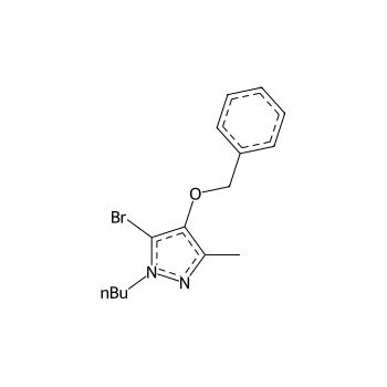 CCCCn1nc(C)c(OCc2ccccc2)c1Br